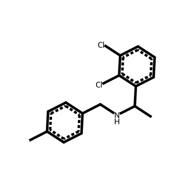 Cc1ccc(CNC(C)c2cccc(Cl)c2Cl)cc1